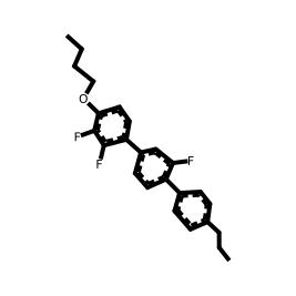 CCCCOc1ccc(-c2ccc(-c3ccc(CCC)cc3)c(F)c2)c(F)c1F